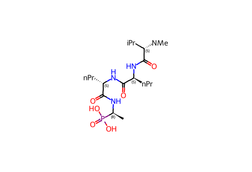 CCC[C@H](NC(=O)[C@H](CCC)NC(=O)[C@@H](NC)C(C)C)C(=O)N[C@@H](C)P(=O)(O)O